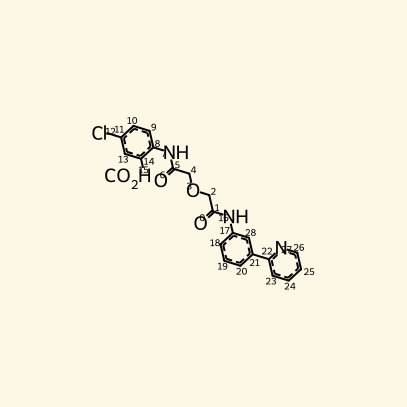 O=C(COCC(=O)Nc1ccc(Cl)cc1C(=O)O)Nc1cccc(-c2ccccn2)c1